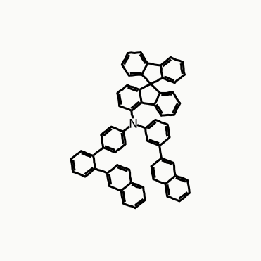 c1cc(-c2ccc3ccccc3c2)cc(N(c2ccc(-c3ccccc3-c3ccc4ccccc4c3)cc2)c2cccc3c2-c2ccccc2C32c3ccccc3-c3ccccc32)c1